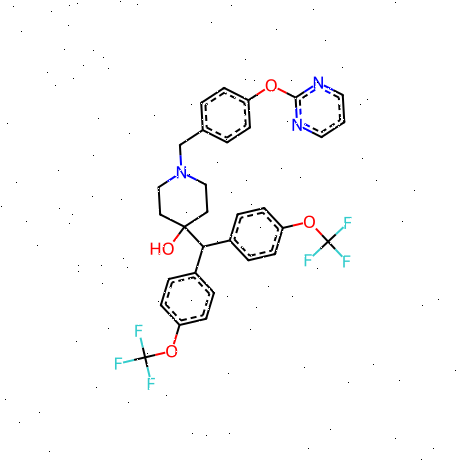 OC1(C(c2ccc(OC(F)(F)F)cc2)c2ccc(OC(F)(F)F)cc2)CCN(Cc2ccc(Oc3ncccn3)cc2)CC1